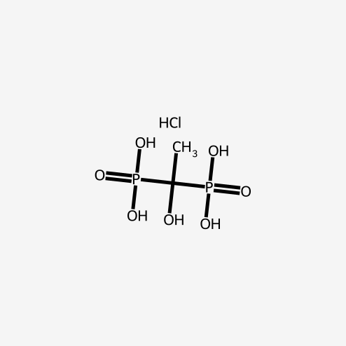 CC(O)(P(=O)(O)O)P(=O)(O)O.Cl